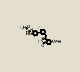 COc1ccc2c(=O)[nH]nc(Cc3ccc(F)c(-c4ccc5[nH]c(OC(N)=O)nc5c4)c3)c2c1